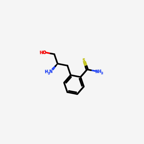 NC(=S)c1ccccc1C[C@@H](N)CO